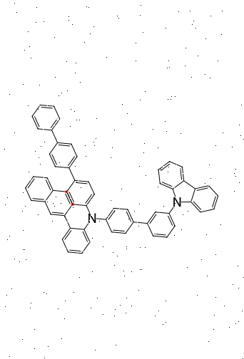 c1ccc(-c2ccc(-c3ccc(N(c4ccc(-c5cccc(-n6c7ccccc7c7ccccc76)c5)cc4)c4ccccc4-c4ccc5ccccc5c4)cc3)cc2)cc1